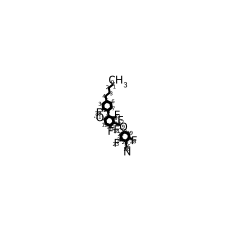 CCCCCc1ccc(-c2c([O])cc(F)c(C(F)(F)Oc3cc(F)c(C#N)c(F)c3)c2F)c(F)c1